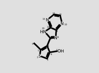 Cc1scc(O)c1-c1nc2nccnc2[nH]1